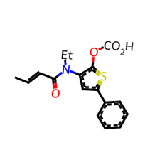 CC=CC(=O)N(CC)c1cc(-c2ccccc2)sc1OC(=O)O